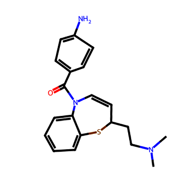 CN(C)CCC1C=CN(C(=O)c2ccc(N)cc2)c2ccccc2S1